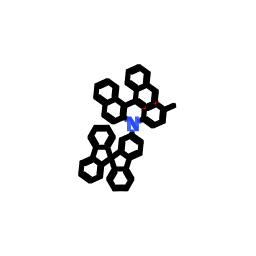 Cc1ccc(N(c2ccc3c(c2)C2(c4ccccc4-c4ccccc42)c2ccccc2-3)c2ccc3ccccc3c2-c2cccc3ccccc23)cc1